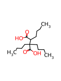 CCCCC(C(=O)O)C(CCCC)(CCCC)C(=O)O